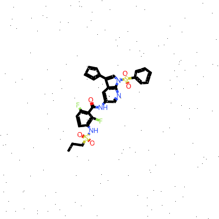 CCCS(=O)(=O)Nc1ccc(F)c(C(=O)Nc2cnc3c(c2)c(C2=C=CC=C2)cn3S(=O)(=O)c2ccccc2)c1F